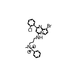 CN(CCCNc1cc(-c2ccccc2Cl)nc2c(Br)ccn12)S(=O)(=O)c1ccccc1